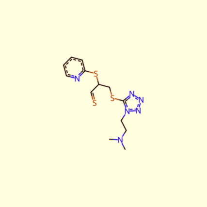 CN(C)CCn1nnnc1SCC(C=S)Sc1ccccn1